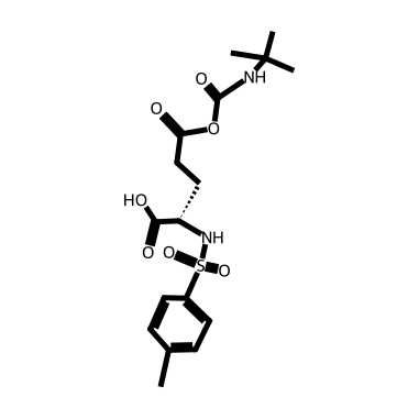 Cc1ccc(S(=O)(=O)N[C@@H](CCC(=O)OC(=O)NC(C)(C)C)C(=O)O)cc1